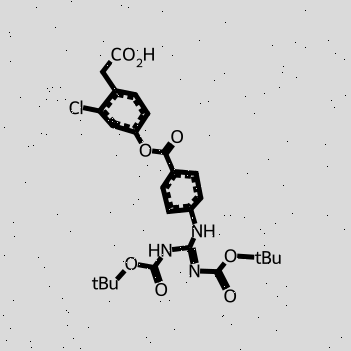 CC(C)(C)OC(=O)N=C(NC(=O)OC(C)(C)C)Nc1ccc(C(=O)Oc2ccc(CC(=O)O)c(Cl)c2)cc1